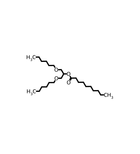 CCCCCCCCCC(=O)OC(COCCCCCC)COCCCCCC